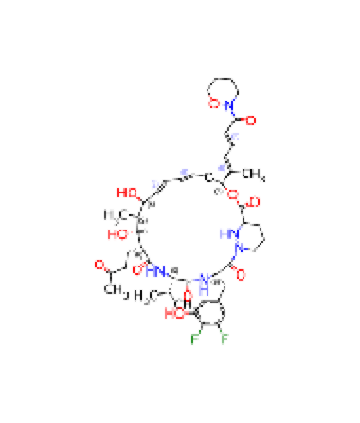 CC(=O)CC[C@H]1C(=O)N[C@@H](C(C)C)C(=O)N[C@@H](Cc2cc(O)c(F)c(F)c2)C(=O)N2CCCC(N2)C(=O)O[C@H](/C(C)=C/C=C/C(=O)N2CCCCO2)C/C=C/C=C/[C@H](O)[C@H](C)[C@H]1O